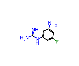 N=C(N)Nc1cc(N)cc(F)c1